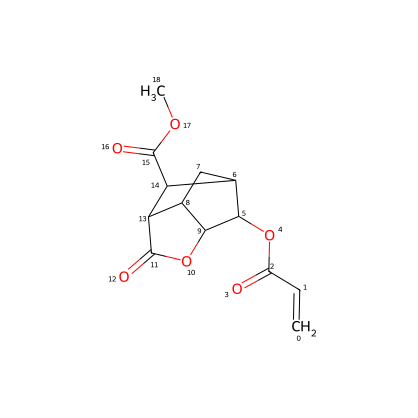 C=CC(=O)OC1C2CC3C1OC(=O)C3C2C(=O)OC